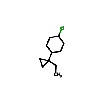 CCC1(C2CCC(Cl)CC2)CC1